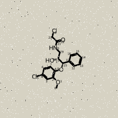 COc1cc(Cl)ccc1O[C@H](c1ccccc1)[C@H](O)CNC(=O)CCl